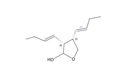 CCC=C[C@H]1C(O)OC[C@H]1/C=C/CC